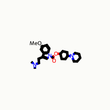 COc1ccc2c(c1)c(CCN(C)C)cn2C(=O)OC1CCC(N2CCCCC2)CC1